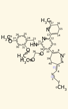 CC/C=C\C=C1\C=NC=C(c2cc(C3=CCCC(C)=N3)nc(NCc3ccc(OC)cc3OC)c2OCOC)CC1